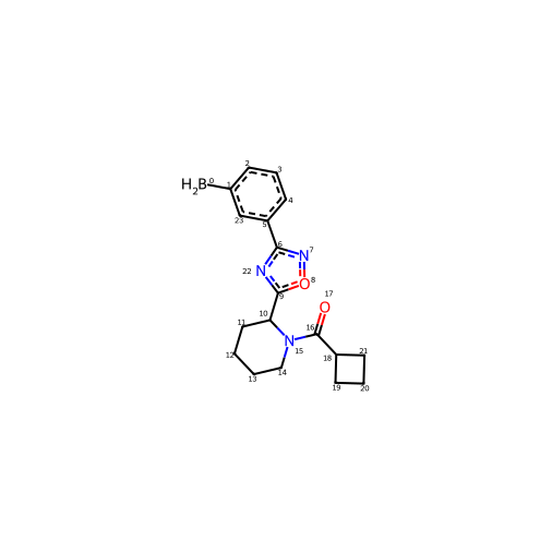 Bc1cccc(-c2noc(C3CCCCN3C(=O)C3CCC3)n2)c1